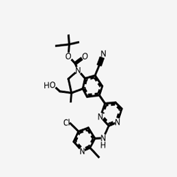 Cc1ncc(Cl)cc1Nc1nccc(-c2cc(C#N)c3c(c2)C(C)(CO)CN3C(=O)OC(C)(C)C)n1